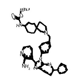 CC(C)(C)OC(=O)NC1CCC2(CC1)CCN(Cc1ccc(-n3c(-c4cccnc4N)nc4ccc(-c5ccccc5)nc43)cc1)C2